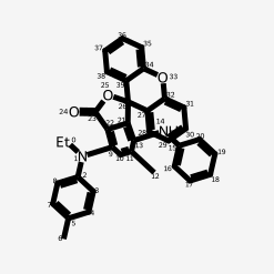 CCN(c1ccc(C)cc1)c1cc(C)c(Nc2ccccc2)c2c1C(=O)OC21c2ccccc2Oc2ccccc21